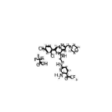 Nc1nc(NCCNc2nc(-c3ccc(Cl)cc3Cl)cn3nc(CN4CCOCC4)cc23)ccc1C(=O)C(F)(F)F.O=C(O)C(F)(F)F